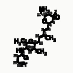 CC(/C=C/[C@@H]1C[C@]2(CO2)C[C@@H](CN)O1)=C\C[C@@H]1O[C@H](C)[C@H](NC(=O)/C=C\C(C)C)C[C@@H]1C